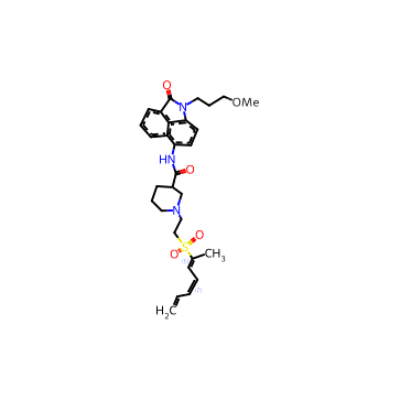 C=C/C=C\C=C(/C)S(=O)(=O)CCN1CCCC(C(=O)Nc2ccc3c4c(cccc24)C(=O)N3CCCOC)C1